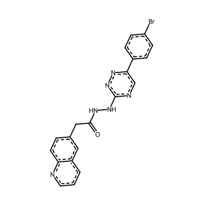 O=C(Cc1ccc2ncccc2c1)NNc1ncc(-c2ccc(Br)cc2)nn1